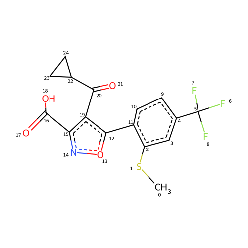 CSc1cc(C(F)(F)F)ccc1-c1onc(C(=O)O)c1C(=O)C1CC1